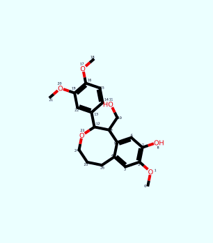 COc1cc2c(cc1O)C(CO)C(c1ccc(OC)c(OC)c1)OCCC2